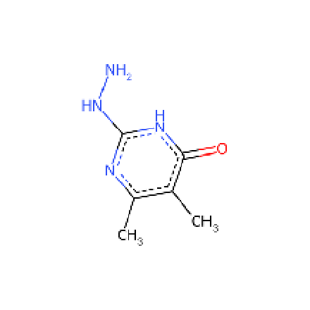 Cc1nc(NN)[nH]c(=O)c1C